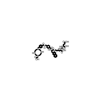 O=C(O)CCC(NC(=O)NC(CCCCNC(=O)C(Cc1ccc2ccccc2c1)NC(=O)C1CCC(CNC(=O)c2ccc(CN3CCCNCCN(CC(=O)O)CCCNCC3)cc2)CC1)C(=O)O)C(=O)O